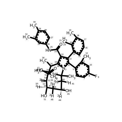 [2H]C(C)(n1c(-c2ccc(F)cc2C)c(-c2cccc(C)c2C)c(C(=O)Nc2ccc(C)c(C)c2)c1C(C)C(C)C)C([2H])([2H])[C@@]([2H])(O)C([2H])([2H])[C@@]([2H])(O)C([2H])([2H])C(=O)O